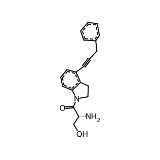 N[C@H](CO)C(=O)N1CCc2c(C#CCc3ccccc3)cccc21